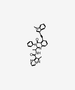 Cc1nn2cccnc2c1C(=O)NC(C)c1nc2cccc(C#Cc3cn(C)c4ccccc34)c2c(=O)n1-c1ccccc1